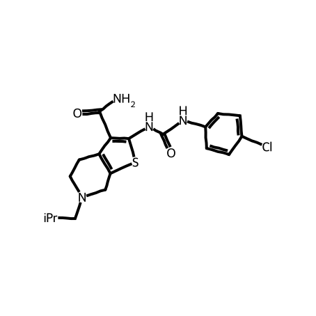 CC(C)CN1CCc2c(sc(NC(=O)Nc3ccc(Cl)cc3)c2C(N)=O)C1